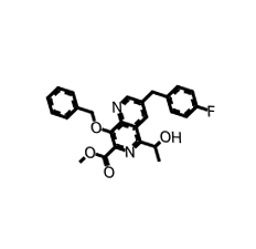 COC(=O)c1nc(C(C)O)c2cc(Cc3ccc(F)cc3)cnc2c1OCc1ccccc1